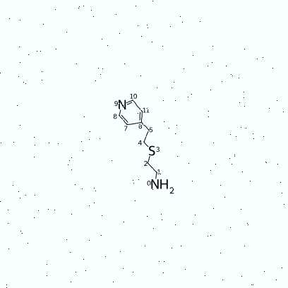 NCCSCCc1ccncc1